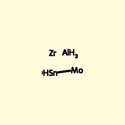 [AlH3].[Mo][SnH].[Zr]